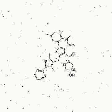 Cc1nn(-c2ncccn2)c(C)c1Cc1sc2c(c1C(=O)N1C[C@](C)(O)CO1)c(=O)n(C)c(=O)n2CC(C)C